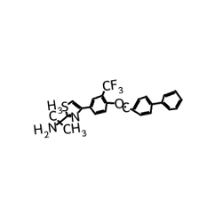 CC(C)(N)c1nc(-c2ccc(OCc3ccc(-c4ccccc4)cc3)c(C(F)(F)F)c2)cs1